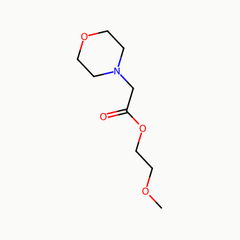 COCCOC(=O)CN1CCOCC1